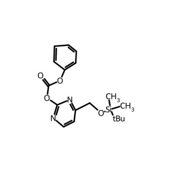 CC(C)(C)[Si](C)(C)OCc1ccnc(OC(=O)Oc2ccccc2)n1